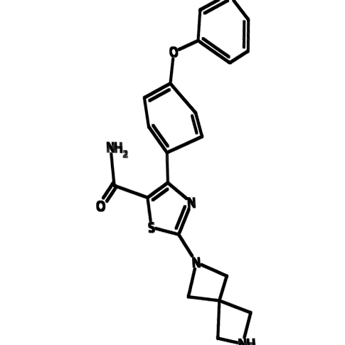 NC(=O)c1sc(N2CC3(CNC3)C2)nc1-c1ccc(Oc2ccccc2)cc1